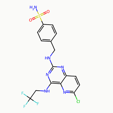 NS(=O)(=O)c1ccc(CNc2nc(NCC(F)(F)F)c3nc(Cl)ccc3n2)cc1